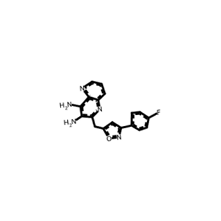 Nc1c(Cc2cc(-c3ccc(F)cc3)no2)nc2cccnc2c1N